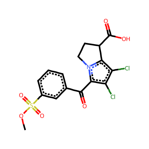 COS(=O)(=O)c1cccc(C(=O)c2c(Cl)c(Cl)c3n2CCC3C(=O)O)c1